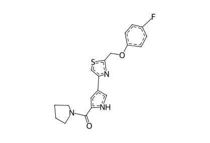 O=C(c1cc(-c2csc(COc3ccc(F)cc3)n2)c[nH]1)N1CCCC1